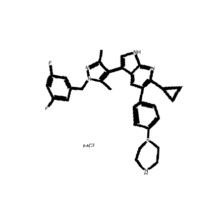 Cc1nn(Cc2cc(F)cc(F)c2)c(C)c1-c1c[nH]c2nc(C3CC3)c(-c3ccc(N4CCNCC4)cc3)cc12.Cl